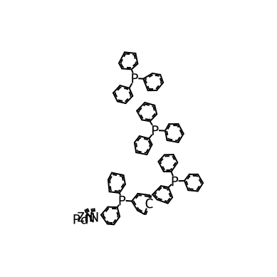 C#N.C#N.[Pd].[Zn].c1ccc(P(c2ccccc2)c2ccccc2)cc1.c1ccc(P(c2ccccc2)c2ccccc2)cc1.c1ccc(P(c2ccccc2)c2ccccc2)cc1.c1ccc(P(c2ccccc2)c2ccccc2)cc1